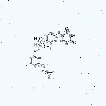 CC(C)(NCCc1cccc(OCC2CC2)c1)c1ccc(Cn2ccc(=O)[nH]c2=O)nc1